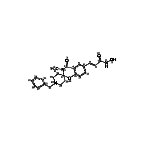 CN1C(=O)c2cc(C=CC(=O)NO)ccc2OC12CCN(Cc1ccccc1)CC2